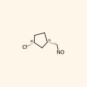 O=NC[C@H]1CC[C@@H](Cl)C1